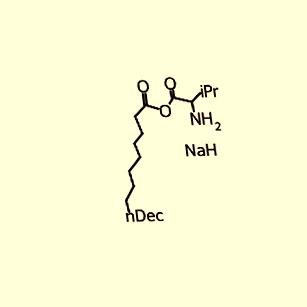 CCCCCCCCCCCCCCCCCC(=O)OC(=O)C(N)C(C)C.[NaH]